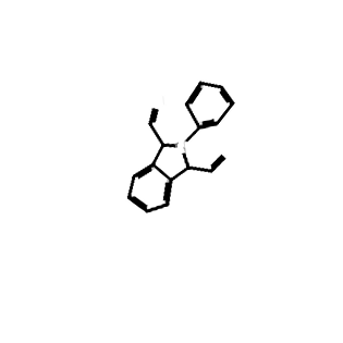 C=CC1c2ccccc2C(C=C)N1c1ccccc1